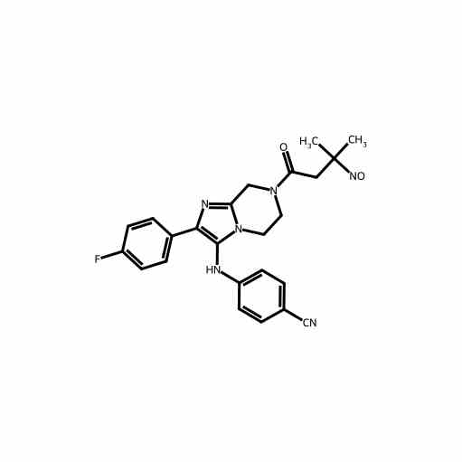 CC(C)(CC(=O)N1CCn2c(nc(-c3ccc(F)cc3)c2Nc2ccc(C#N)cc2)C1)N=O